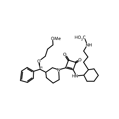 COCCCO[C@H](c1ccccc1)C1CCCN(c2c(NC3CCCCC3CCCNC(=O)O)c(=O)c2=O)C1